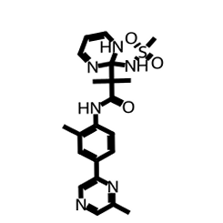 Cc1cncc(-c2ccc(NC(=O)C(C)(C)C3(NS(C)(=O)=O)N=CC=CN3)c(C)c2)n1